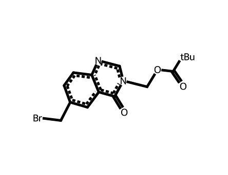 CC(C)(C)C(=O)OCn1cnc2ccc(CBr)cc2c1=O